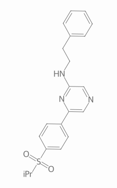 CC(C)S(=O)(=O)c1ccc(-c2cncc(NCCc3ccccc3)n2)cc1